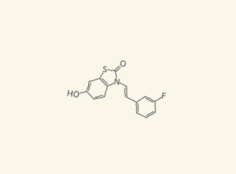 O=c1sc2cc(O)ccc2n1C=Cc1cccc(F)c1